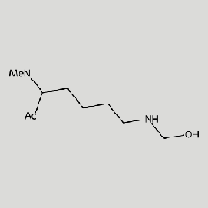 CNC(CCCCNCO)C(C)=O